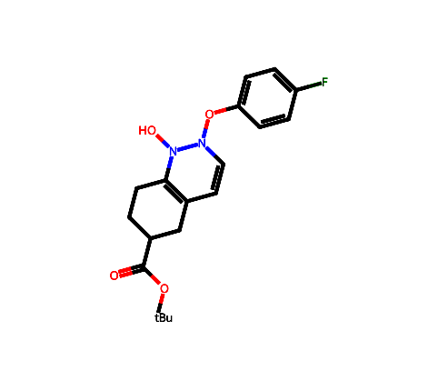 CC(C)(C)OC(=O)C1CCC2=C(C=CN(Oc3ccc(F)cc3)N2O)C1